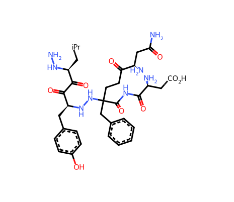 CC(C)C[C@H](NN)C(=O)C(=O)[C@H](Cc1ccc(O)cc1)NNC(CCC(=O)[C@@H](N)CC(N)=O)(Cc1ccccc1)C(=O)NC(=O)[C@@H](N)CC(=O)O